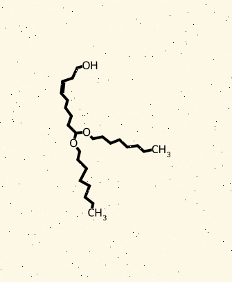 CCCCCCCCOC(CCCC/C=C\CCO)OCCCCCCCC